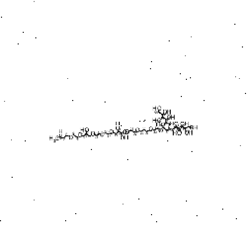 CNCCOCCOCC(O)COCCOCCOCC(O)C(O)COCCOCCCOCCOCCN(C[C@H](O)[C@@H](O)[C@H](O)[C@H](O)CO)C[C@H](O)[C@@H](O)[C@H](O)[C@H](O)CO